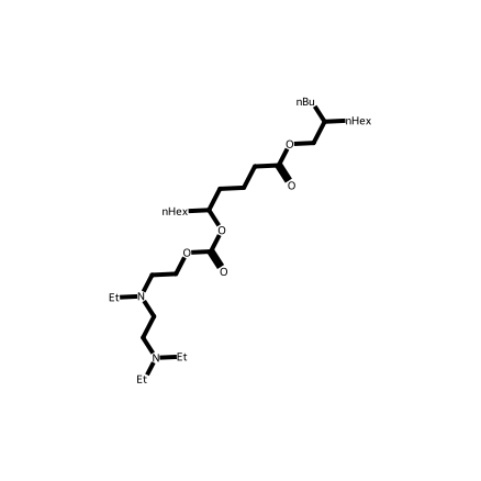 CCCCCCC(CCCC)COC(=O)CCCC(CCCCCC)OC(=O)OCCN(CC)CCN(CC)CC